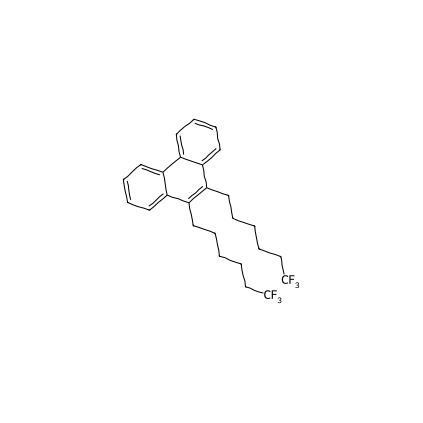 FC(F)(F)CCCCCc1c(CCCCCC(F)(F)F)c2ccccc2c2ccccc12